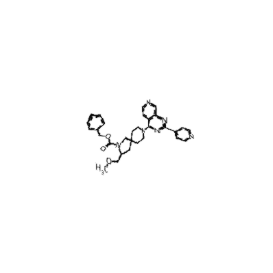 COCC1CC2(CCN(c3nc(-c4ccncc4)nc4cnccc34)CC2)CN1C(=O)OCc1ccccc1